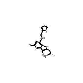 C[C@H](N)Cc1sc2c(NCc3ccco3)cc(Cl)nc2c1Cl